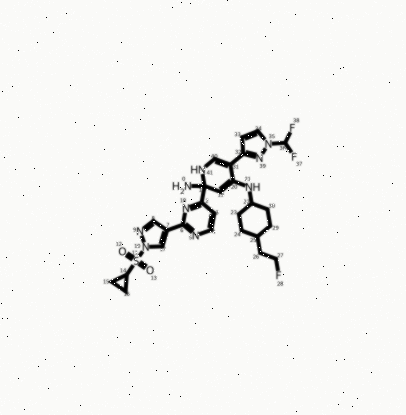 NC1(c2ccnc(-c3cnn(S(=O)(=O)C4CC4)c3)n2)C=C(NC2CCC(CCF)CC2)C(c2ccn(C(F)F)n2)=CN1